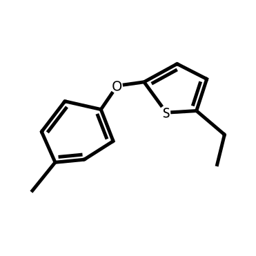 CCc1ccc(Oc2ccc(C)cc2)s1